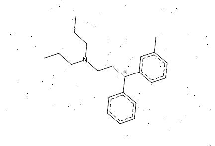 CCCN(CCC)CC[C@H](c1[c]ccc(C)c1)c1ccccc1